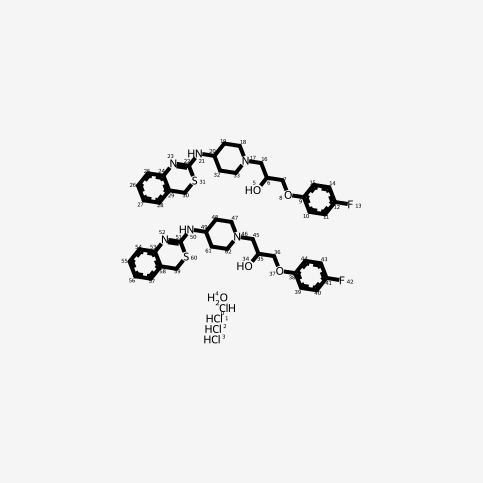 Cl.Cl.Cl.Cl.O.OC(COc1ccc(F)cc1)CN1CCC(NC2=Nc3ccccc3CS2)CC1.OC(COc1ccc(F)cc1)CN1CCC(NC2=Nc3ccccc3CS2)CC1